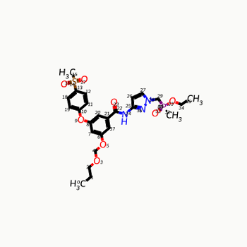 CCCOCOc1cc(Oc2ccc(S(C)(=O)=O)cc2)cc(C(=O)Nc2ccn(C[P@](C)(=O)OCC)n2)c1